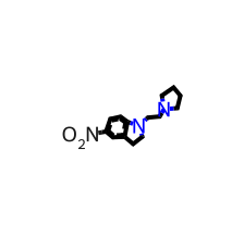 O=[N+]([O-])c1ccc2c(c1)CCN2CCN1CCCC1